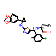 CC(C)C[C@H](CO)NC(c1cnc(NC2(c3ccc4c(c3)OCO4)CC2)s1)c1cc(F)ccc1F